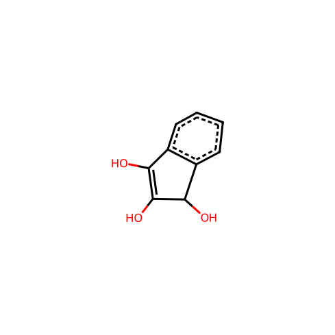 OC1=C(O)C(O)c2ccccc21